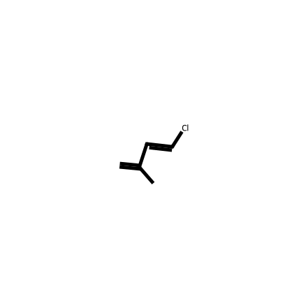 C=C(C)C=CCl